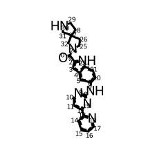 O=C(c1cc2cc(Nc3nccc(-c4ccccn4)n3)ccc2[nH]1)N1CCC2(CCNC2)C1